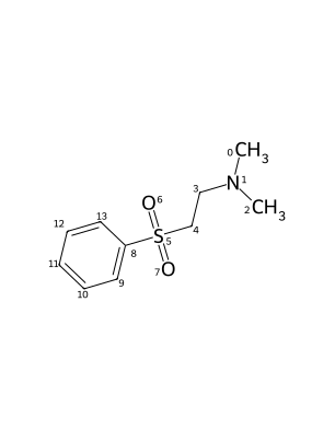 CN(C)CCS(=O)(=O)c1ccccc1